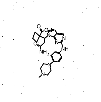 CN1CCN(c2ccc(Nc3ncc4ccn(C(CC(N)=O)C5(C(=O)O)CCC5)c4n3)cc2)CC1